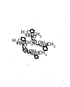 COc1ccccc1OCC(O)CN1CCN(CC(=O)Nc2c(C)cccc2C)CC1.COc1ccccc1OCC(O)CN1CCN(CC(=O)Nc2c(C)cccc2C)CC1